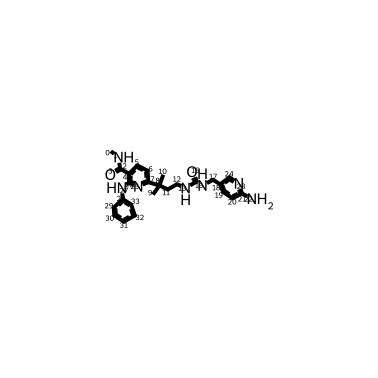 CNC(=O)c1ccc(C(C)(C)CCNC(=O)NCc2ccc(N)nc2)nc1Nc1ccccc1